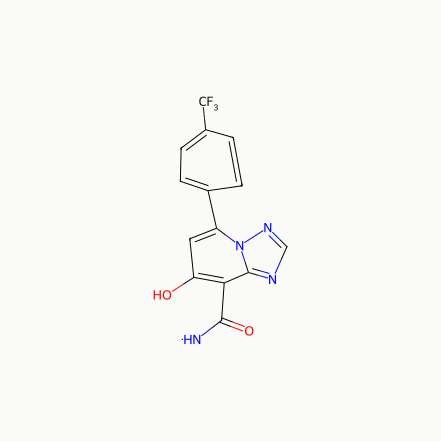 [NH]C(=O)c1c(O)cc(-c2ccc(C(F)(F)F)cc2)n2ncnc12